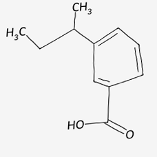 CCC(C)c1cccc(C(=O)O)c1